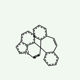 C1=Cc2ccccc2C2(c3ccccc31)c1ccccc1-n1ccc3cccc2c31